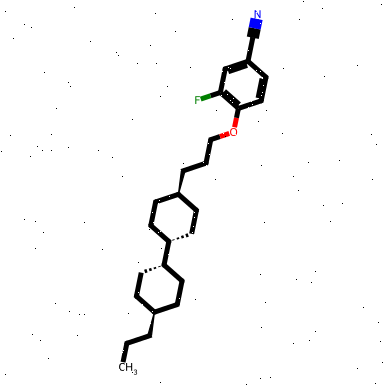 CCC[C@H]1CC[C@H]([C@H]2CC[C@H](CCCOc3ccc(C#N)cc3F)CC2)CC1